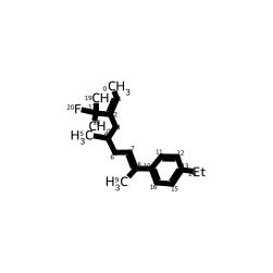 CC=C(CC(C)C/C=C(\C)c1ccc(CC)cc1)C(C)(C)F